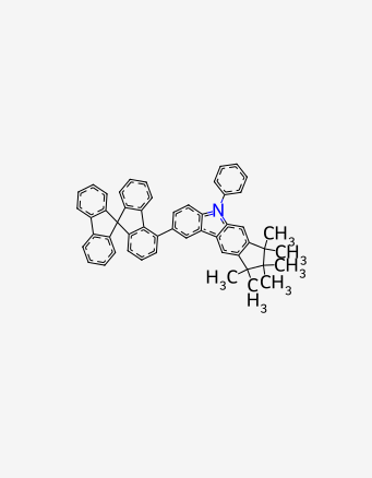 CC1(C)c2cc3c4cc(-c5cccc6c5-c5ccccc5C65c6ccccc6-c6ccccc65)ccc4n(-c4ccccc4)c3cc2C(C)(C)C1(C)C